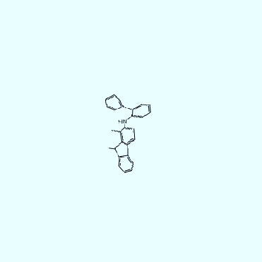 Cc1c(Nc2ccccc2-c2ccccc2)ccc2c1C(C)c1ccccc1-2